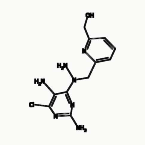 Nc1nc(Cl)c(N)c(N(N)Cc2cccc(CO)n2)n1